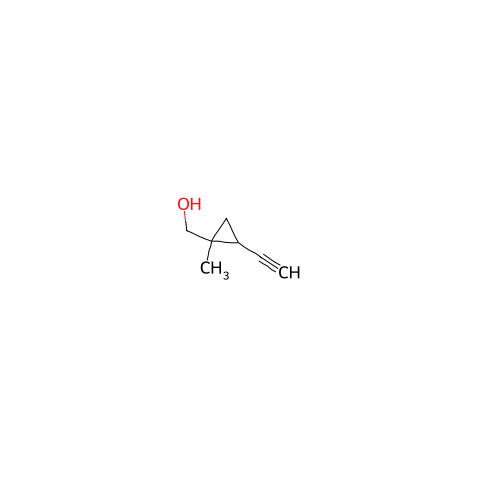 C#CC1CC1(C)CO